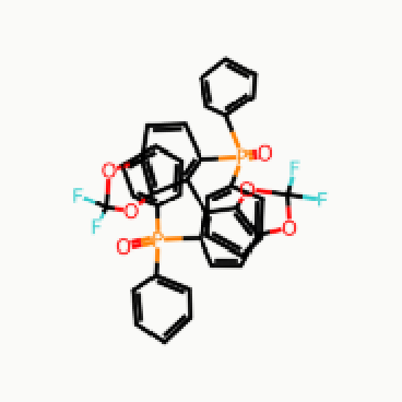 O=P(c1ccccc1)(c1ccccc1)c1ccc2c(c1-c1c(P(=O)(c3ccccc3)c3ccccc3)ccc3c1OC(F)(F)O3)OC(F)(F)O2